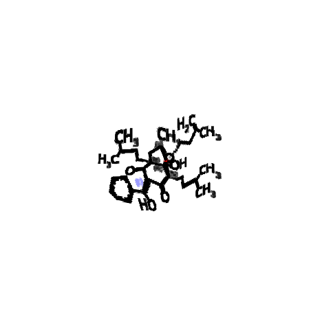 C=C(C)CC[C@@H]1C[C@]2(CC=C(C)C)C(=O)/C(=C(\O)c3ccccc3)C(=O)[C@]3(CC=C(C)C)C[C@@]1(C)O[C@@]32O